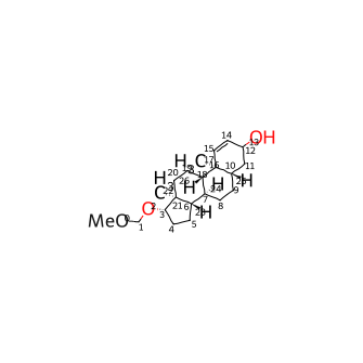 COCO[C@H]1CC[C@H]2[C@@H]3CC[C@H]4CC(O)C=C[C@]4(C)[C@H]3CC[C@]12C